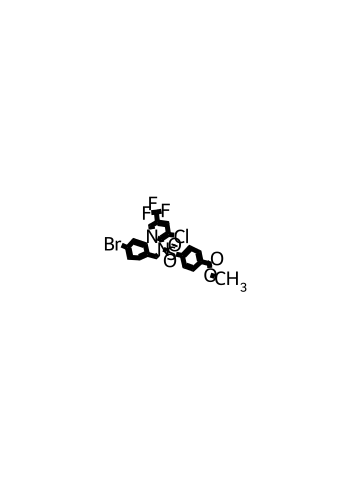 COC(=O)c1ccc(S(=O)(=O)N(Cc2ccc(Br)cc2)c2ncc(C(F)(F)F)cc2Cl)cc1